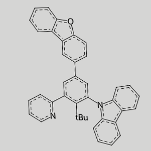 CC(C)(C)c1c(-c2ccccn2)cc(-c2ccc3oc4ccccc4c3c2)cc1-n1c2ccccc2c2ccccc21